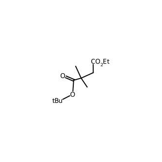 CCOC(=O)CC(C)(C)C(=O)OC(C)(C)C